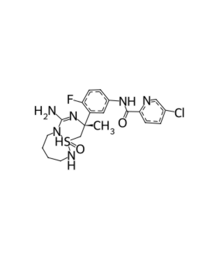 C[C@@]1(c2cc(NC(=O)c3ccc(Cl)cn3)ccc2F)C[SH]2(=O)NCCCCN2C(N)=N1